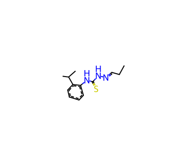 CC/C=N/NC(=S)Nc1ccccc1C(C)C